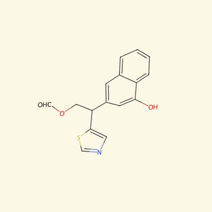 O=COCC(c1cc(O)c2ccccc2c1)c1cncs1